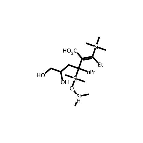 CCCC(CC(O)CO)(C(C(=O)O)=C(CC)[Si](C)(C)C)[Si](C)(C)O[SiH](C)C